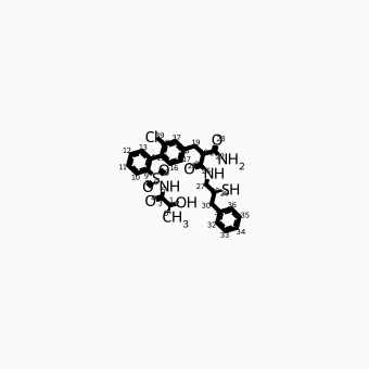 C[C@H](O)C(=O)NS(=O)(=O)c1ccccc1-c1ccc(CC(C(N)=O)C(=O)NC[C@@H](S)Cc2ccccc2)cc1Cl